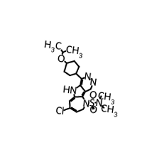 CC(C)OC1CCC(C2=c3[nH]c4c(c3CN=N2)N(S(=O)(=O)N(C)C)CC=C(Cl)C=4)CC1